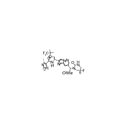 COCC(c1cnn2cc(C(COC(C)(C)C(F)(F)F)NC(=O)c3nonc3C)nc2c1)N1CC(F)(F)CNC1=O